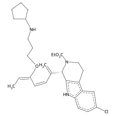 C=C(/C=C\C(=C/C)OCCCNC1CCCC1)[C@H]1c2[nH]c3ccc(Cl)cc3c2CCN1C(=O)OCC